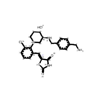 Cl.NCc1ccc(CN[C@@H]2CCCN(c3c(Cl)cccc3/C=C3\SC(=O)NC3=O)C2)cc1